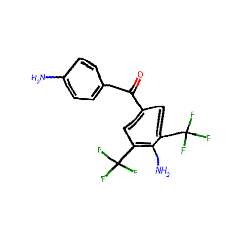 Nc1ccc(C(=O)c2cc(C(F)(F)F)c(N)c(C(F)(F)F)c2)cc1